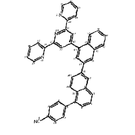 N#Cc1ccc(-c2cccc3cc(-c4cc(-c5cc(-c6ccccn6)nc(-c6ccccn6)c5)c5ccccc5c4)ccc23)cc1